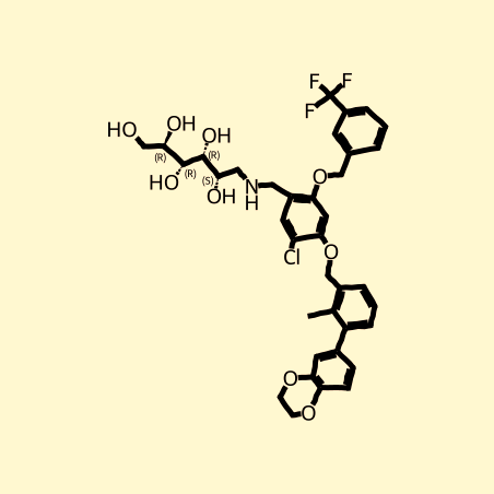 Cc1c(COc2cc(OCc3cccc(C(F)(F)F)c3)c(CNC[C@H](O)[C@@H](O)[C@H](O)[C@H](O)CO)cc2Cl)cccc1-c1ccc2c(c1)OCCO2